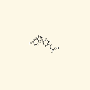 CC(O)CCN1CCC(c2nsc3cc(F)ccc23)CC1